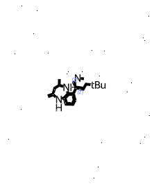 C=C1CC(C)Nc2c(cccc2C(/C=N\C)=C/CC(C)(C)C)N1